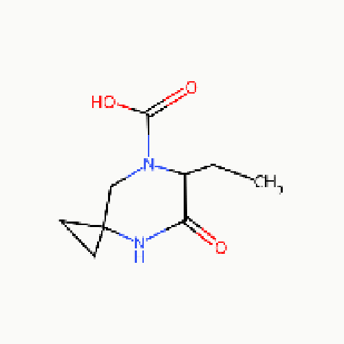 CCC1C(=O)NC2(CC2)CN1C(=O)O